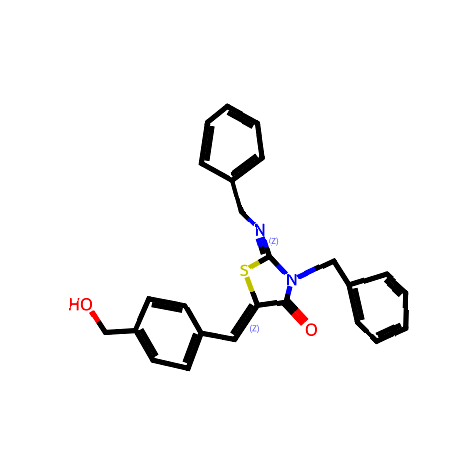 O=C1/C(=C/c2ccc(CO)cc2)S/C(=N\Cc2ccccc2)N1Cc1ccccc1